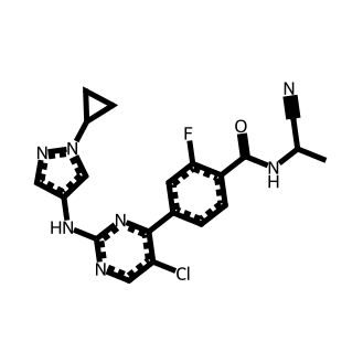 CC(C#N)NC(=O)c1ccc(-c2nc(Nc3cnn(C4CC4)c3)ncc2Cl)cc1F